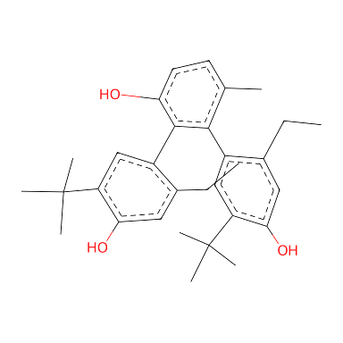 CCc1cc(O)c(C(C)(C)C)cc1-c1c(C)ccc(O)c1-c1cc(C(C)(C)C)c(O)cc1CC